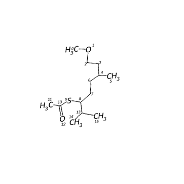 COCCC(C)CCC(SC(C)=O)C(C)C